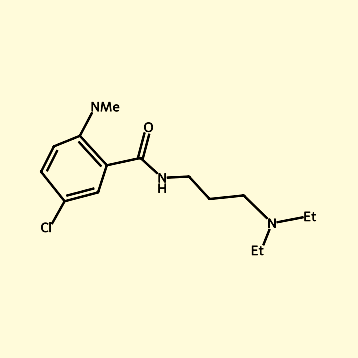 CCN(CC)CCCNC(=O)c1cc(Cl)ccc1NC